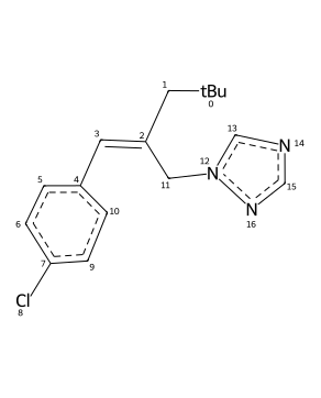 CC(C)(C)CC(=Cc1ccc(Cl)cc1)Cn1cncn1